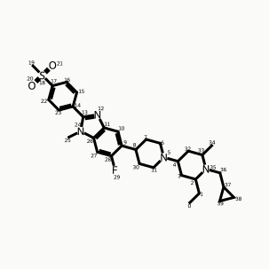 CCC1CC(N2CCC(c3cc4nc(-c5ccc(S(C)(=O)=O)cc5)n(C)c4cc3F)CC2)CC(C)N1CC1CC1